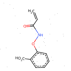 C=CC(=O)NOc1ccccc1C(=O)O